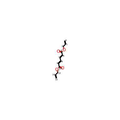 C=CCOC(=O)C=CC=CC(=O)OCC=C